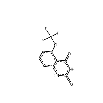 O=c1[nH]c(=O)c2c(OC(F)(F)F)cccc2[nH]1